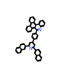 c1ccc2cc(-c3cc(-c4ccc(-c5nc6ccccc6c6c7ccccc7c7ccccc7c56)cc4)cc(-c4ccc5ccccc5c4)n3)ccc2c1